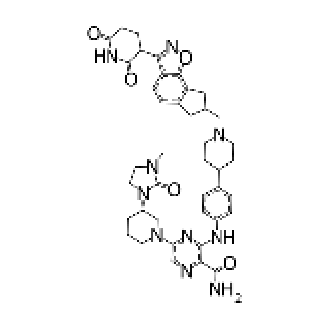 CN1CCN([C@@H]2CCCN(c3cnc(C(N)=O)c(Nc4ccc(C5CCN(CC6Cc7ccc8c(C9CCC(=O)NC9=O)noc8c7C6)CC5)cc4)n3)C2)C1=O